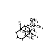 CC(C)N1C[C@H]2CCC[C@@H](C1)[N+]2(CCO)C(C)C